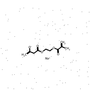 C=C([O-])CC(=O)OCCOC(=O)C(=C)C.[Na+]